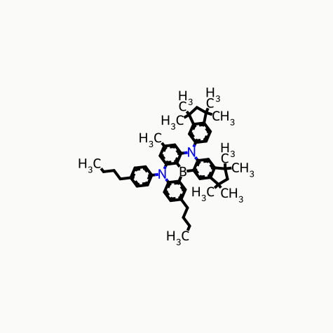 CCCCc1ccc(N2c3ccc(CCCC)cc3B3c4cc5c(cc4N(c4ccc6c(c4)C(C)(C)CC6(C)C)c4cc(C)cc2c43)C(C)(C)CC5(C)C)cc1